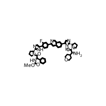 COC(=O)N[C@@H](C(=O)N1CCC[C@H]1c1ncc(-c2ccc(-c3cc4ccc(-c5cnc([C@@H]6CCCN6C(=O)[C@@H](N)C6CCOCC6)[nH]5)cc4cn3)cc2F)[nH]1)c1ccccc1